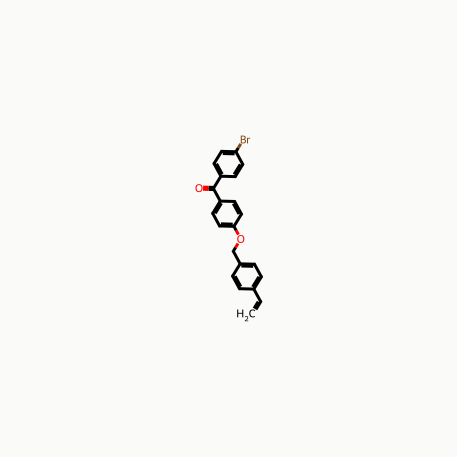 C=Cc1ccc(COc2ccc(C(=O)c3ccc(Br)cc3)cc2)cc1